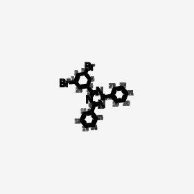 BrC1=CC(Br)CC(c2nc(-c3ccccc3)nc(-c3ccccc3)n2)=C1